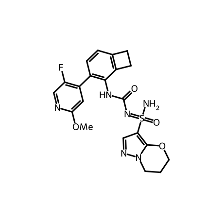 COc1cc(-c2ccc3c(c2NC(=O)N=S(N)(=O)c2cnn4c2OCCC4)CC3)c(F)cn1